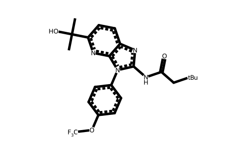 CC(C)(C)CC(=O)Nc1nc2ccc(C(C)(C)O)nc2n1-c1ccc(OC(F)(F)F)cc1